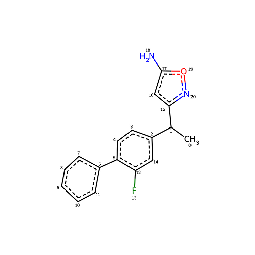 CC(c1ccc(-c2ccccc2)c(F)c1)c1cc(N)on1